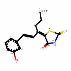 CCOC(=O)CCC(/C=C/c1cccc(O)c1)=C1\SC(=S)NC1=O